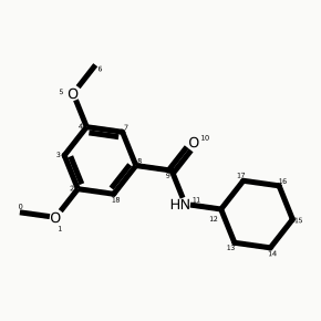 COc1cc(OC)cc(C(=O)NC2CCCCC2)c1